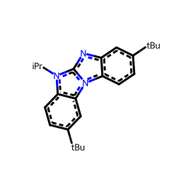 CC(C)n1c2ccc(C(C)(C)C)cc2n2c3ccc(C(C)(C)C)cc3nc12